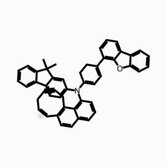 CC1(C)c2ccccc2-c2ccc(N(C3=CC=C(c4cccc5c4oc4ccccc45)CC3)c3cccc4ccc5c(c34)CC#CC/C=C\5)cc21